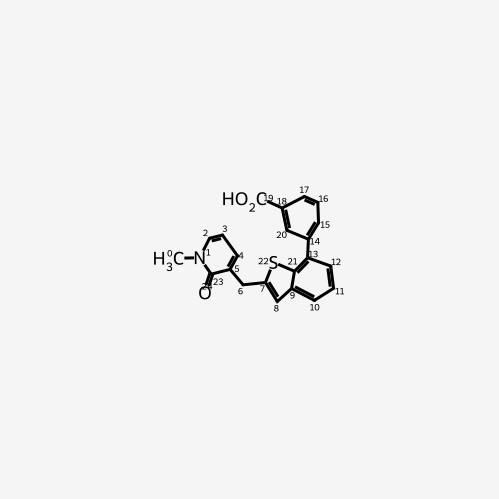 Cn1cccc(Cc2cc3cccc(-c4cccc(C(=O)O)c4)c3s2)c1=O